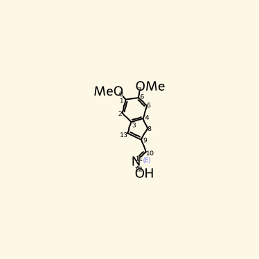 COc1cc2c(cc1OC)CC(/C=N/O)=C2